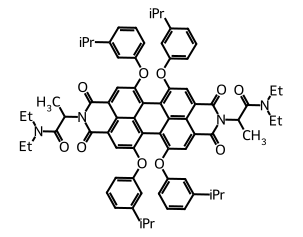 CCN(CC)C(=O)C(C)N1C(=O)c2cc(Oc3cccc(C(C)C)c3)c3c4c(Oc5cccc(C(C)C)c5)cc5c6c(cc(Oc7cccc(C(C)C)c7)c(c7c(Oc8cccc(C(C)C)c8)cc(c2c37)C1=O)c64)C(=O)N(C(C)C(=O)N(CC)CC)C5=O